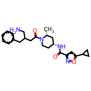 C[C@@H]1C[C@H](NC(=O)c2cc(C3CC3)on2)CCN1C(=O)CC(CN)Cc1ccccc1